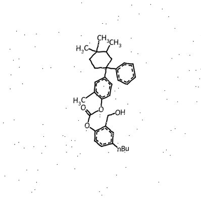 CCCCc1ccc(OC(=O)Oc2ccc(C3(c4ccccc4)CCC(C)(C)C(C)C3)cc2C)c(CO)c1